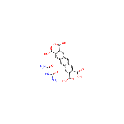 NC(=O)NC(N)=O.O=C(O)c1cc2cc3cc(C(=O)O)c(C(=O)O)cc3cc2cc1C(=O)O